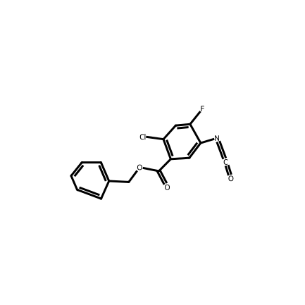 O=C=Nc1cc(C(=O)OCc2ccccc2)c(Cl)cc1F